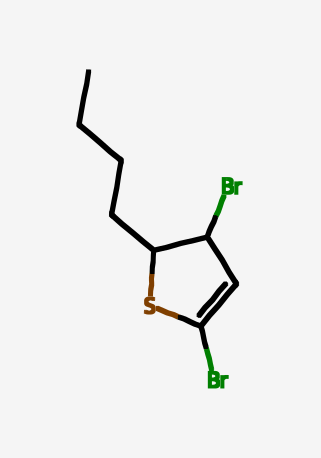 CCCCC1SC(Br)=CC1Br